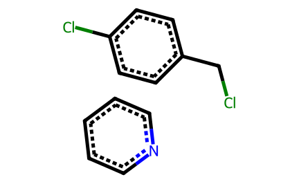 ClCc1ccc(Cl)cc1.c1ccncc1